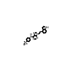 CP(C)(=O)c1ccc(Nc2ncnc3c2ncn3C=Cc2cccc3[nH]ccc23)cc1